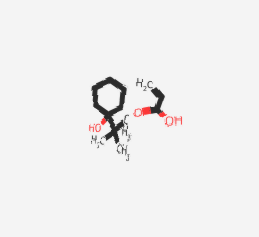 C=CC(=O)O.CC(C)(C)C1(O)CCCCC1